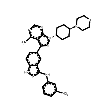 Nc1ncnc2c1c(-c1ccc3[nH]nc(Nc4cccc([N+](=O)[O-])c4)c3c1)nn2[C@H]1CC[C@H](N2CCOCC2)CC1